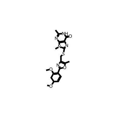 COC1=C(c2nc(CSc3nc4c(=O)[nH]c(C)nc4n3C)c(C)o2)C=CC(OC)C1